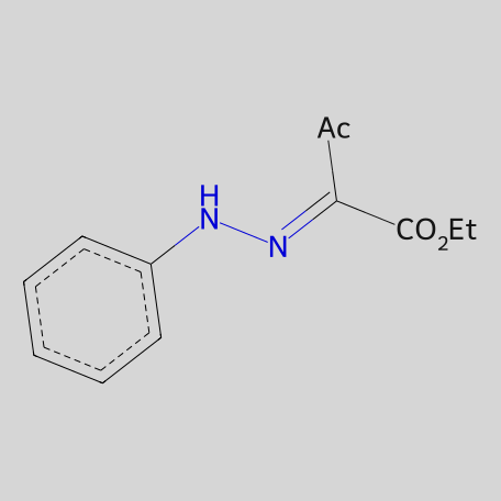 CCOC(=O)/C(=N/Nc1ccccc1)C(C)=O